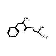 CN(Cc1ccccc1)C(=O)NCC(N)C(=O)O